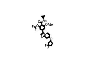 COc1cc(-c2cnc3cc(OC4CCC(F)(F)C4)ccn23)cc(OC(F)F)c1C(=O)NC1CC1